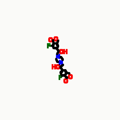 O=C1OCc2cc(C(O)CN3CCN(CC(O)c4cc(F)c5c(c4)COC5=O)CC3)cc(F)c21